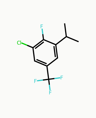 CC(C)c1cc(C(F)(F)F)cc(Cl)c1F